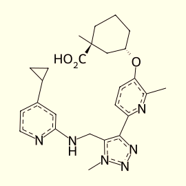 Cc1nc(-c2nnn(C)c2CNc2cc(C3CC3)ccn2)ccc1O[C@H]1CCC[C@](C)(C(=O)O)C1